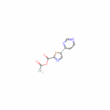 O=C(OC(=O)C(F)(F)F)c1ncc(-c2ccncn2)s1